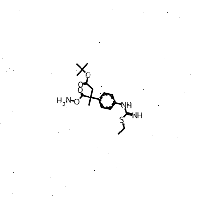 CCSC(=N)Nc1ccc(C(C)(CC(=O)OC(C)(C)C)C(=O)ON)cc1